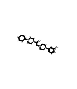 O=C(CN1CCN(c2cccc(F)c2)CC1)N1CCN(C2CCCCC2)CC1